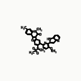 CNC(=O)c1c(-c2ccc(C)cc2)oc2cc(N(C)S(C)(=O)=O)c(-c3ccc(OC)c(-c4cc5ncccc5[nH]4)n3)cc12